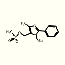 CCCCn1c(-c2ccccc2)nc(C(F)(F)F)c1COS(C)(=O)=O